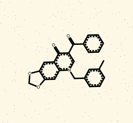 Cc1cccc(Cn2cc(C(=O)c3ccccc3)c(=O)c3cc4c(cc32)OCO4)c1